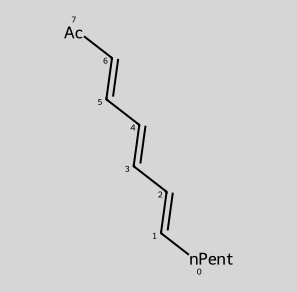 CCCCC/C=C/C=C/C=C/C(C)=O